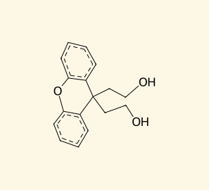 OCCC1(CCO)c2ccccc2Oc2ccccc21